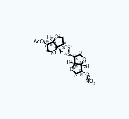 CC(=O)O[C@@H]1CO[C@H]2[C@@H]1OC[C@@H]2SS[C@H]1CO[C@H]2[C@@H]1OC[C@H]2O[N+](=O)[O-]